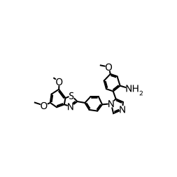 COc1ccc(-c2cncn2-c2ccc(-c3nc4cc(OC)cc(OC)c4s3)cc2)c(N)c1